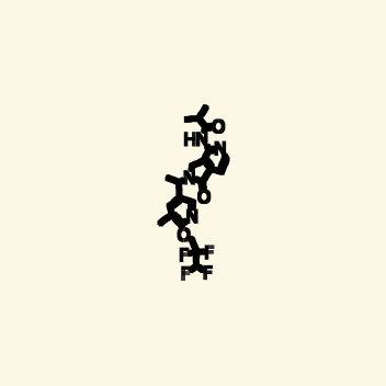 Cc1cc(C(C)N2Cc3c(ccnc3NC(=O)C(C)C)C2=O)cnc1OCC(F)(F)C(F)F